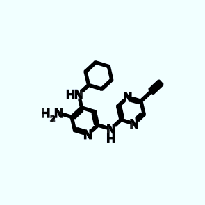 C#Cc1cnc(Nc2cc(NC3CCCCC3)c(N)cn2)cn1